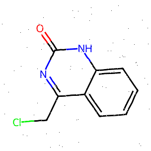 O=c1nc(CCl)c2ccccc2[nH]1